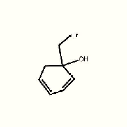 CC(C)CC1(O)C=CC=CC1